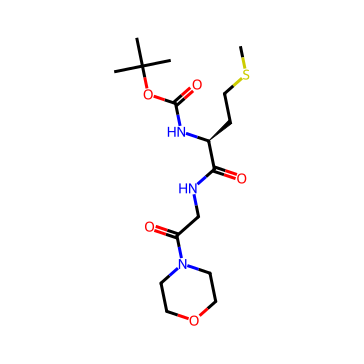 CSCC[C@H](NC(=O)OC(C)(C)C)C(=O)NCC(=O)N1CCOCC1